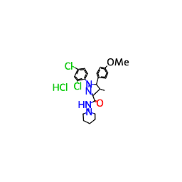 COc1ccc(C2C(C)C(C(=O)NN3CCCCC3)=NN2c2ccc(Cl)cc2Cl)cc1.Cl